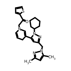 Cc1cc(C)n(Cc2cc(C3=CN(CC(=O)c4cccs4)C=CC3)n(C3CCCCC3)n2)n1